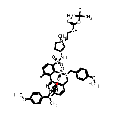 COc1ccc(CN(Cc2ccc(OC)cc2)S(=O)(=O)c2c(S(=O)(=O)N[C@H]3CC[N+](C)(CCNC(=O)OC(C)(C)C)C3)ccc(I)c2-c2nnn(Cc3ccc(OC)cc3)n2)cc1.[I-]